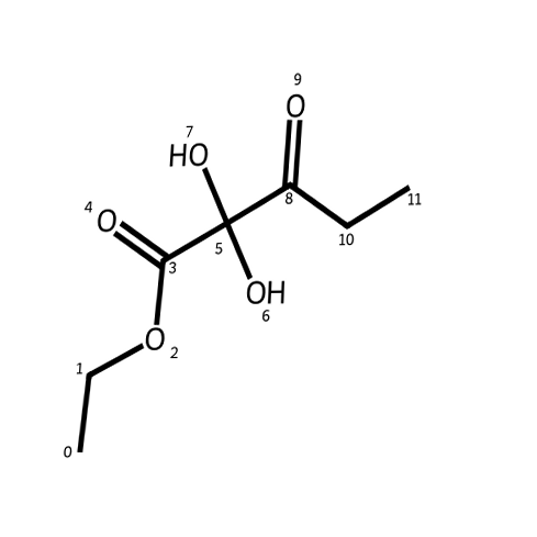 CCOC(=O)C(O)(O)C(=O)CC